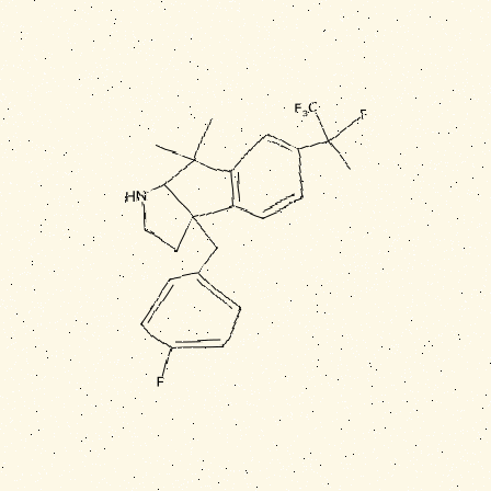 CC1(C)c2cc(C(C)(F)C(F)(F)F)ccc2C2(Cc3ccc(F)cc3)CCNC12